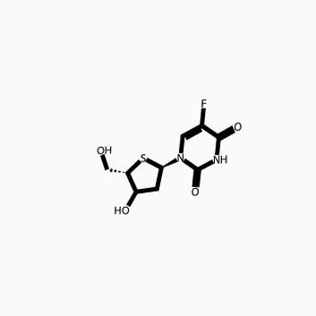 O=c1[nH]c(=O)n([C@H]2CC(O)[C@H](CO)S2)cc1F